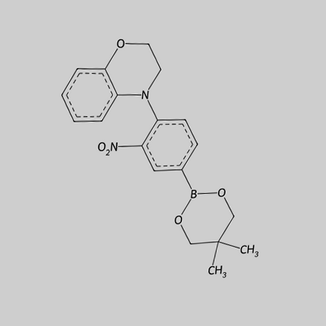 CC1(C)COB(c2ccc(N3CCOc4ccccc43)c([N+](=O)[O-])c2)OC1